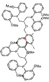 COc1ccccc1P(CC(CP(c1ccccc1OC)c1ccccc1OC)OCc1c(C)cc(C)c(COC(CP(c2ccccc2OC)c2ccccc2OC)CP(c2ccccc2OC)c2ccccc2OC)c1C)c1ccccc1OC